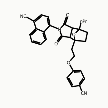 CCCC12CCC(CCOc3ccc(C#N)cc3)(O1)C1C(=O)N(c3ccc(C#N)c4ccccc34)C(=O)C12